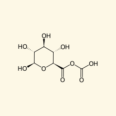 O=C(O)OC(=O)[C@H]1O[C@@H](O)[C@H](O)[C@@H](O)[C@@H]1O